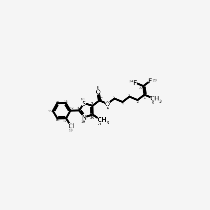 CC(CCCCOC(=O)c1sc(-c2ccccc2Cl)nc1C)=C(F)F